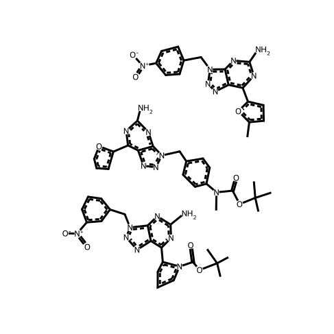 CC(C)(C)OC(=O)n1cccc1-c1nc(N)nc2c1nnn2Cc1cccc([N+](=O)[O-])c1.CN(C(=O)OC(C)(C)C)c1ccc(Cn2nnc3c(-c4ccco4)nc(N)nc32)cc1.Cc1ccc(-c2nc(N)nc3c2nnn3Cc2ccc([N+](=O)[O-])cc2)o1